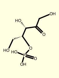 O=C(CO)[C@@H](O)[C@@H](CO)OP(=O)(O)O